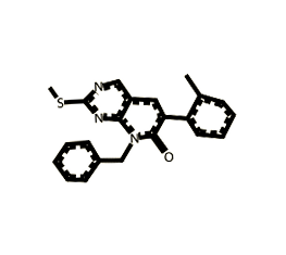 CSc1ncc2cc(-c3ccccc3C)c(=O)n(Cc3ccccc3)c2n1